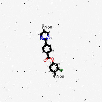 CCCCCCCCCc1cnc(-c2ccc(C(=O)Oc3ccc(CCCCCCCCC)c(F)c3)cc2)nc1